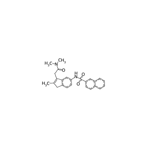 CC1=C(CC(=O)N(C)C)c2cc(NS(=O)(=O)c3ccc4ccccc4c3)ccc2C1